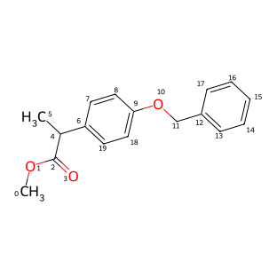 COC(=O)C(C)c1ccc(OCc2ccccc2)cc1